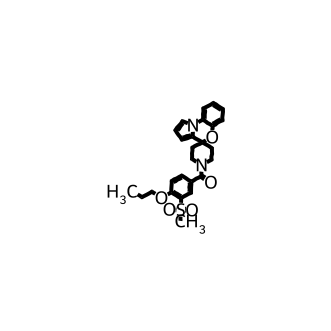 CCCOc1ccc(C(=O)N2CCC3(CC2)Oc2ccccc2-n2cccc23)cc1S(C)(=O)=O